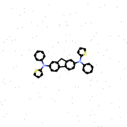 c1ccc(N(c2ccc3c(c2)Cc2cc(N(c4ccccc4)c4cccs4)ccc2-3)c2cccs2)cc1